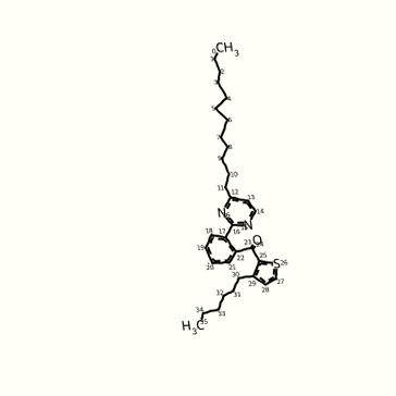 CCCCCCCCCCCCc1ccnc(-c2cc[c]cc2C(=O)c2sccc2CCCCCC)n1